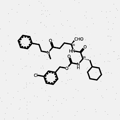 CN(CCc1ccccc1)C(=O)CC[C@@H](C=O)NC(=O)[C@H](CC1CCCCC1)NC(=O)OCc1cccc(Cl)c1